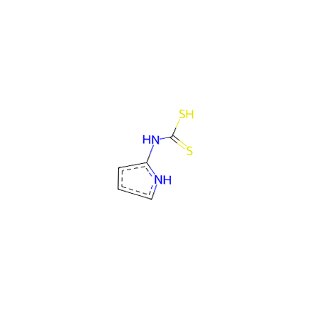 S=C(S)Nc1ccc[nH]1